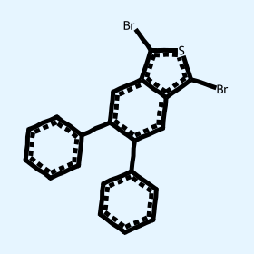 Brc1sc(Br)c2cc(-c3ccccc3)c(-c3ccccc3)cc12